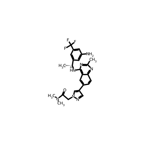 Cc1nc(N[C@H](C)c2cc(N)cc(C(F)(F)F)c2)c2cc(-c3cnn(CC(=O)N(C)C)c3)ccc2n1